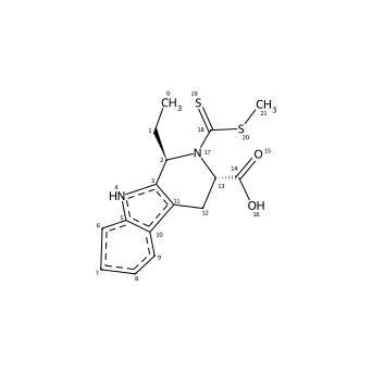 CC[C@@H]1c2[nH]c3ccccc3c2C[C@@H](C(=O)O)N1C(=S)SC